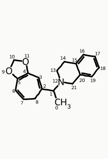 CC(C1=CC2=C(C=CC1)OCO2)N1CCc2ccccc2C1